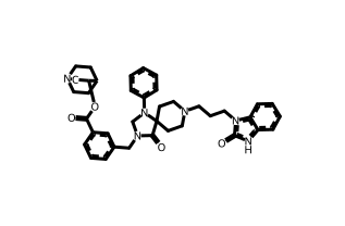 O=C(OC1CN2CCC1CC2)c1cccc(CN2CN(c3ccccc3)C3(CCN(CCCn4c(=O)[nH]c5ccccc54)CC3)C2=O)c1